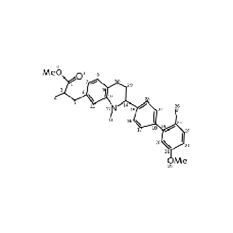 COC(=O)C(C)Cc1ccc2c(c1)N(C)C(c1ccc(-c3cc(OC)ccc3F)cc1)CC2